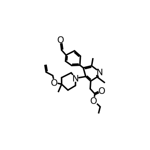 C=CCOC1(C)CCN(c2c(CC(=O)OCC)c(C)nc(C)c2-c2ccc(C=O)cc2)CC1